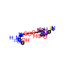 Cc1ncsc1-c1ccc(CNC(=O)[C@@H]2C[C@@H](O)CN2C(=O)[C@@H](c2cc(CCCOCCOCCOCCn3cc(C4=C(N)N=NC(c5ccccc5O)C4)cn3)no2)C(C)C)cc1